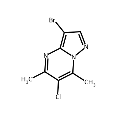 Cc1nc2c(Br)cnn2c(C)c1Cl